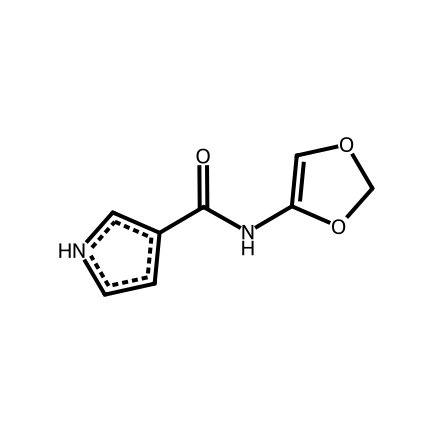 O=C(NC1=COCO1)c1cc[nH]c1